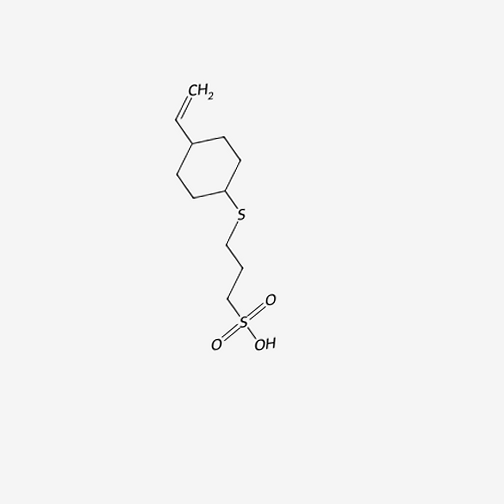 C=CC1CCC(SCCCS(=O)(=O)O)CC1